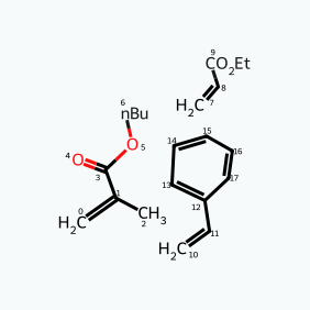 C=C(C)C(=O)OCCCC.C=CC(=O)OCC.C=Cc1ccccc1